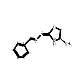 C[C@@H]1CO/C(=N/N=C/c2ccccc2)N1